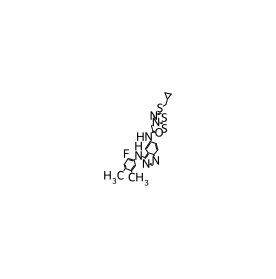 Cc1cc(F)c(Nc2ncnc3ccc(NC(=O)Cn4nc(SCC5CC5)sc4=S)cc23)cc1C